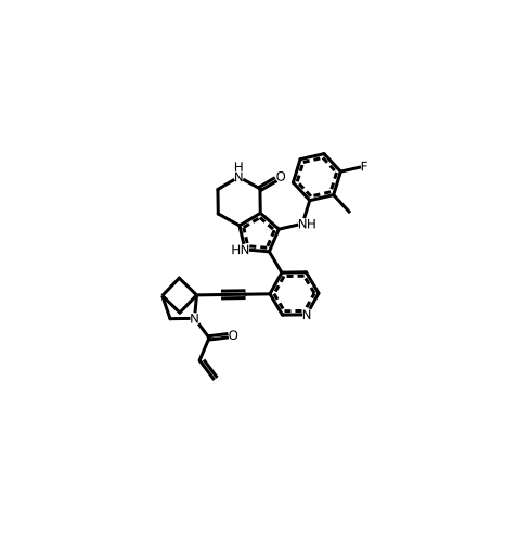 C=CC(=O)N1CC2CC1(C#Cc1cnccc1-c1[nH]c3c(c1Nc1cccc(F)c1C)C(=O)NCC3)C2